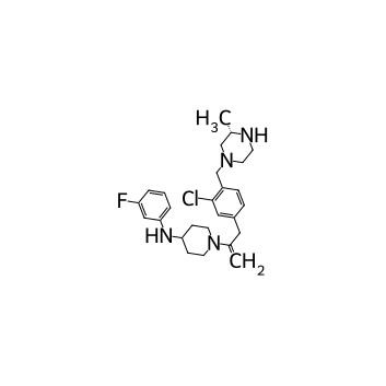 C=C(Cc1ccc(CN2CCN[C@@H](C)C2)c(Cl)c1)N1CCC(Nc2cccc(F)c2)CC1